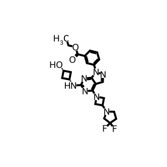 CCOC(=O)c1cccc(-n2ncc3c(N4CC(N5CCC(F)(F)C5)C4)nc(N[C@H]4C[C@@H](O)C4)nc32)c1